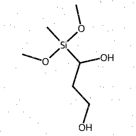 CO[Si](C)(OC)C(O)CCO